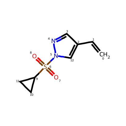 C=Cc1cnn(S(=O)(=O)C2CC2)c1